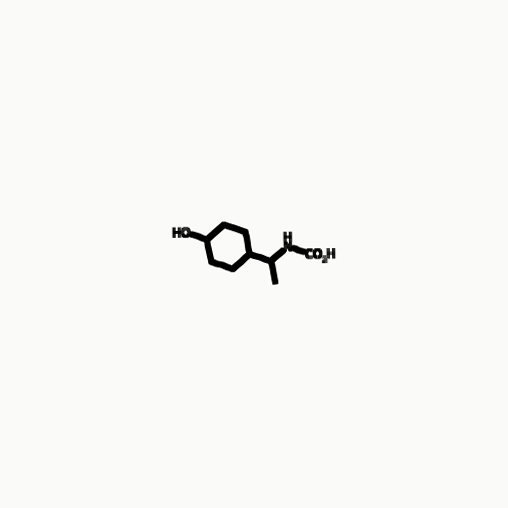 CC(NC(=O)O)C1CCC(O)CC1